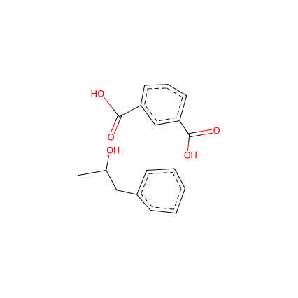 CC(O)Cc1ccccc1.O=C(O)c1cccc(C(=O)O)c1